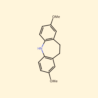 COc1ccc2c(c1)CCc1cc(OC)ccc1N2